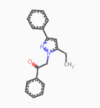 [CH2]Cc1cc(-c2ccccc2)nn1CC(=O)c1ccccc1